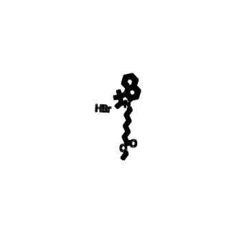 Br.CCOC(=O)CCCCCCN1c2ccc3ccccc3c2C(C)(C)C1C